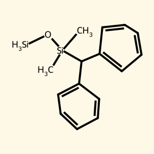 C[Si](C)(O[SiH3])C(c1ccccc1)c1ccccc1